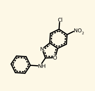 O=[N+]([O-])c1cc2oc(Nc3ccccc3)nc2cc1Cl